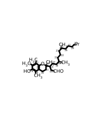 Cc1c(C)c2c(c(C)c1O)CC[C@@](C)(C(CC=O)CC[C@H](C)CCC[C@H](C)CCCC(C)C)O2